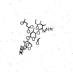 CC[C@@H]1O[C@H](O[C@H]2C(C)[C@H](OC(=O)CCC(C)=O)[C@H](O[C@@H]3C4CO[C@H](O4)[C@@H](N=[N+]=[N-])C3C)O[C@H]2C(C)=O)[C@@H](N=[N+]=[N-])C(C)[C@@H]1C